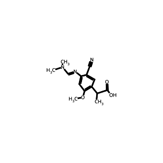 COc1cc(N=CN(C)C)c(C#N)cc1C(C)C(=O)O